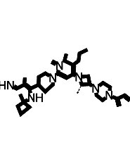 C=CC(=C)N1CCN(C2CN(C(/C=C(\N=C)N3CCC(/C(NC4(C)CCC4)=C(\C)C=N)CC3)=C(/CC)CCC)[C@H]2C)CC1